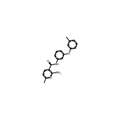 Cc1cccc(Oc2cccc(NC(=O)c3ccc(C)nc3N)c2)c1